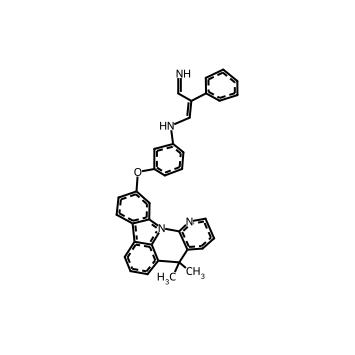 CC1(C)c2cccnc2-n2c3cc(Oc4cccc(N/C=C(\C=N)c5ccccc5)c4)ccc3c3cccc1c32